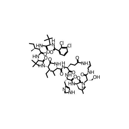 CCCNC(=O)[C@H](CO)NC(=O)[C@@H](CC(C)C)NC(=O)[C@H](Cc1c[nH]cn1)NC(=O)[C@H](CCC(N)=O)NC(=O)[C@@H](NC(=O)[C@@H](NC(=O)[C@@H](NC(=O)[C@@H](NC(=O)[C@@H](NC(=O)c1cccc(Cl)c1Cl)C(C)(C)C)[C@@H](C)CC)C(C)(C)C)[C@@H](C)CC)C(C)C